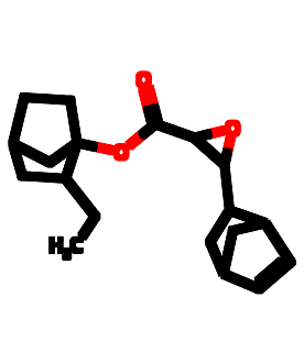 CCC1CC2CCC1(OC(=O)C1OC1C1CC3C=CC1C3)C2